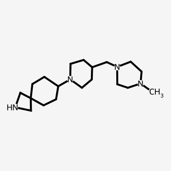 CN1CCN(CC2CCN(C3CCC4(CC3)CNC4)CC2)CC1